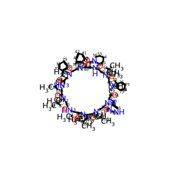 CC(=O)[C@@H]1NC(=O)[C@H](CC(C)C)N(C)C(=O)[C@H](CC(C)C)NC(=O)[C@@H](Cc2ccccc2)N(C)C(=O)[C@H](Cc2ccccc2)N(C)C(=O)[C@@H](C(=O)N2CCCCC2)NC(=O)[C@H](CC(C)C)N(C)C(=O)[C@H](Cc2ccccc2)N(C)CC(=O)[C@@H](Cc2c[nH]cn2)NC(=O)[C@H](CC(C)C)N(C)C(=O)[C@@H](CC(C)C)N(C)C1=O